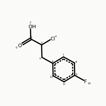 O=C(O)C(Cl)Cc1ccc(F)cc1